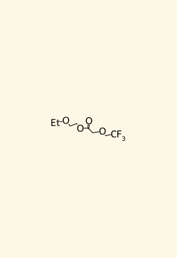 CCOCCOC(=O)COCC(F)(F)F